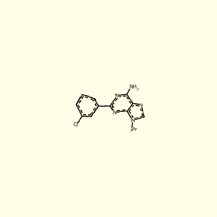 CC(C)n1cnc2c(N)nc(-c3cccc(Cl)c3)nc21